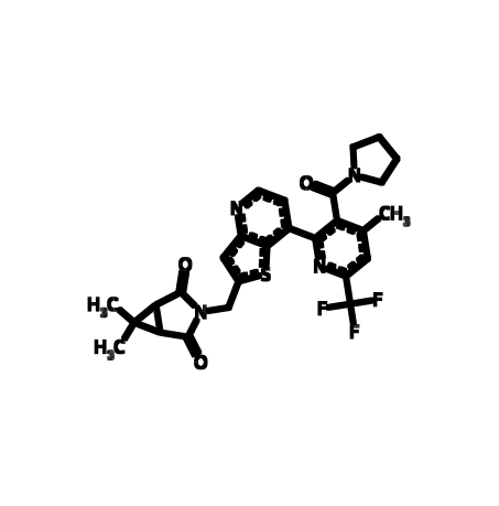 Cc1cc(C(F)(F)F)nc(-c2ccnc3cc(CN4C(=O)C5C(C4=O)C5(C)C)sc23)c1C(=O)N1CCCC1